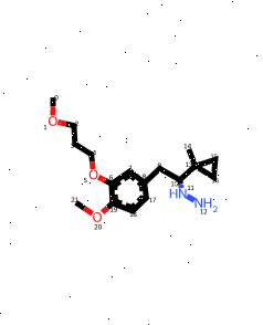 COCCCOc1cc(CC(NN)C2(C)CC2)ccc1OC